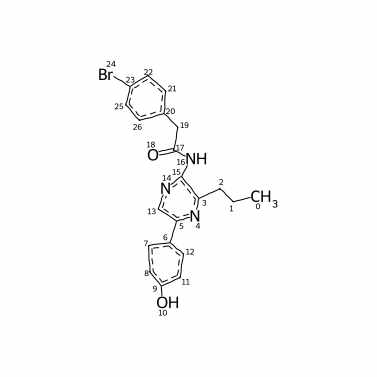 CCCc1nc(-c2ccc(O)cc2)cnc1NC(=O)Cc1ccc(Br)cc1